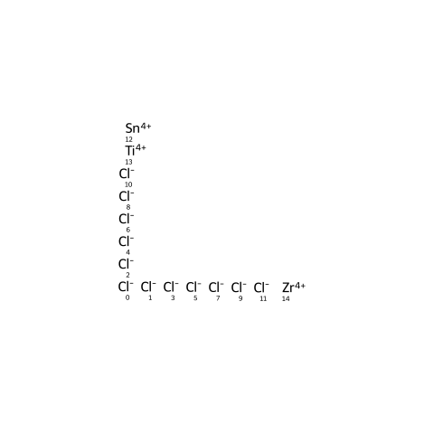 [Cl-].[Cl-].[Cl-].[Cl-].[Cl-].[Cl-].[Cl-].[Cl-].[Cl-].[Cl-].[Cl-].[Cl-].[Sn+4].[Ti+4].[Zr+4]